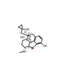 CN[C@@H]1CC[C@@]2(O)[C@H]3Cc4ccc(O)c5c4[C@@]2(CCN3CC2(O)CC2)[C@H]1O5